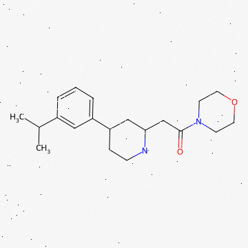 CC(C)c1cccc(C2CC[N]C(CC(=O)N3CCOCC3)C2)c1